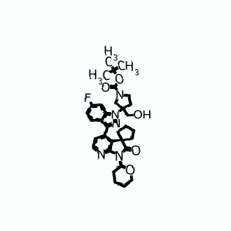 CC(C)(C)OC(=O)N1CCC(CO)(n2nc(-c3ccnc4c3C3(CCCC3)C(=O)N4C3CCCCO3)c3ccc(F)cc32)C1